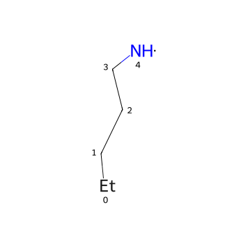 CCCCC[NH]